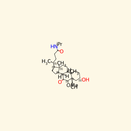 C#C[C@]12C[C@@H](O)CC[C@@]1(C)[C@@H]1CC[C@]3(C)[C@H](CC[C@H]3[C@@H](C)CCC(=O)NC(C)C)[C@H]1C(=O)[C@H]2OC